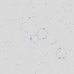 C[SiH](C)[C@]1(n2cnc3c(NC(=O)c4ccccc4)ncnc32)C[C@H](OC(C)(C)C)[C@@H](CN)O1